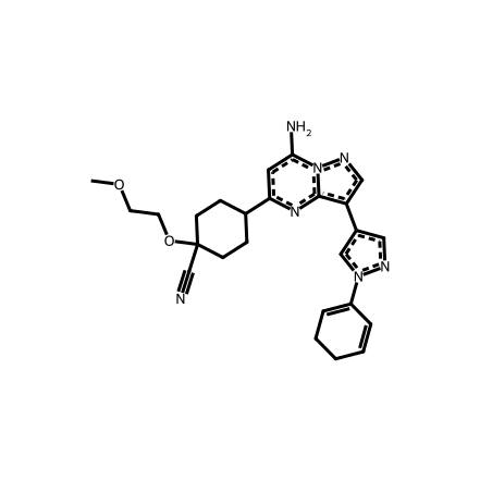 COCCOC1(C#N)CCC(c2cc(N)n3ncc(-c4cnn(C5=CCCC=C5)c4)c3n2)CC1